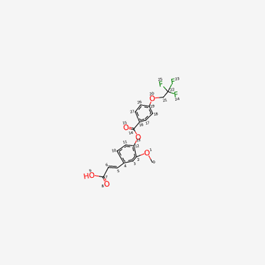 COc1cc(C=CC(=O)O)ccc1OC(=O)c1ccc(OCC(F)(F)F)cc1